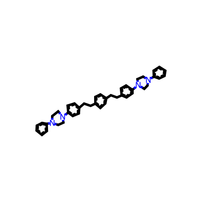 c1ccc(N2CCN(c3ccc(CCc4ccc(CCc5ccc(N6CCN(c7ccccc7)CC6)cc5)cc4)cc3)CC2)cc1